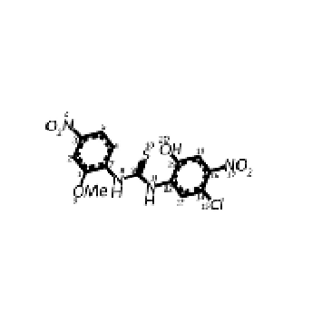 COc1cc([N+](=O)[O-])ccc1NC(=S)Nc1cc(Cl)c([N+](=O)[O-])cc1O